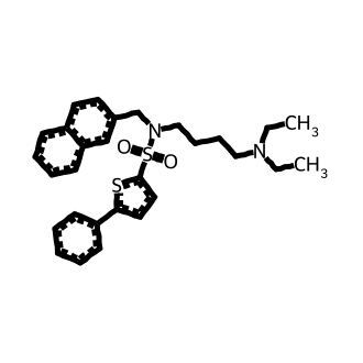 CCN(CC)CCCCN(Cc1ccc2ccccc2c1)S(=O)(=O)c1ccc(-c2ccccc2)s1